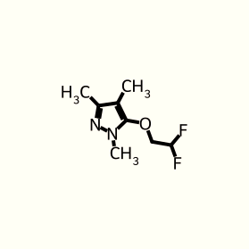 Cc1nn(C)c(OCC(F)F)c1C